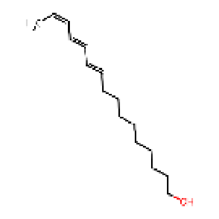 C\C=C/C=C/C=C/CCCCCCCCCO